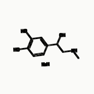 CNCC(O)c1ccc(O)c(O)c1.[NaH]